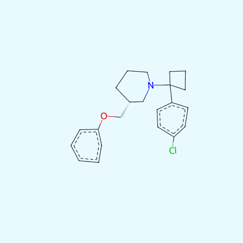 Clc1ccc(C2(N3CCC[C@@H](COc4ccccc4)C3)CCC2)cc1